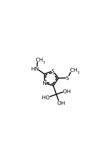 CNc1nc(C(O)(O)O)c(SC)s1